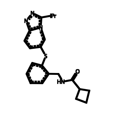 CC(C)c1nnc2ccc(Sc3ccccc3CNC(=O)C3CCC3)cn12